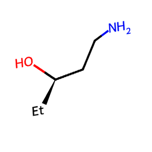 CC[C@@H](O)CCN